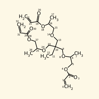 C=CC(=O)OCC(C)OCC(CC)(COCC(C)OC(=O)C=C)COC(C)COC(=O)C=C